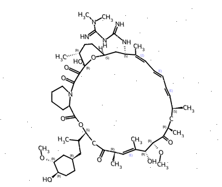 CO[C@@H]1C[C@@H](CC(C)[C@@H]2CC(=O)[C@H](C)/C=C(\C)[C@@H](O)[C@@H](OC)C(=O)[C@H](C)C[C@H](C)/C=C/C=C/C=C(/C)[C@@H](NC(=N)NC(=N)N(C)C)C[C@@H]3CC[C@@H](C)[C@@](O)(O3)C(=O)C(=O)N3CCCCC3C(=O)O2)CC[C@H]1O